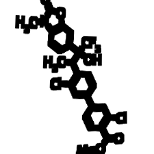 COC(=O)c1ccc(-c2ccc(C(C)C(O)(c3ccc4c(c3)oc(=O)n4C)C(F)(F)F)c(Cl)c2)cc1Cl